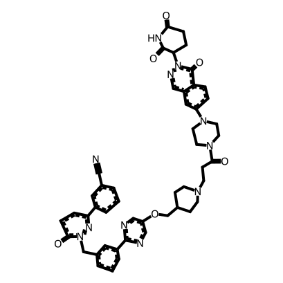 N#Cc1cccc(-c2ccc(=O)n(Cc3cccc(-c4ncc(OCC5CCN(CCC(=O)N6CCN(c7ccc8c(=O)n(C9CCC(=O)NC9=O)ncc8c7)CC6)CC5)cn4)c3)n2)c1